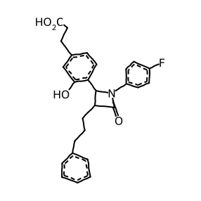 O=C(O)CCc1ccc(C2C(CCCc3ccccc3)C(=O)N2c2ccc(F)cc2)c(O)c1